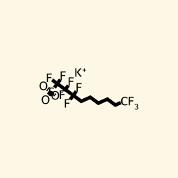 O=S(=O)([O-])C(F)(F)C(F)(F)C(F)(F)CCCCCC(F)(F)F.[K+]